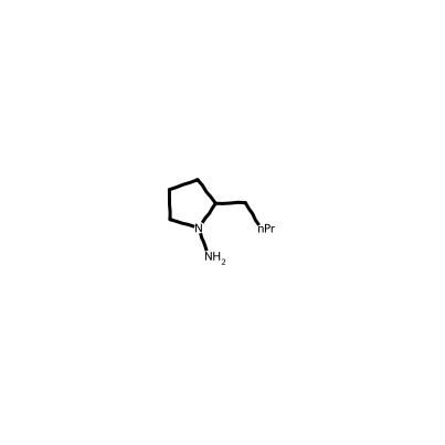 CCCCC1CCCN1N